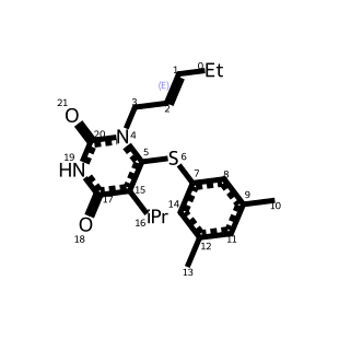 CC/C=C/Cn1c(Sc2cc(C)cc(C)c2)c(C(C)C)c(=O)[nH]c1=O